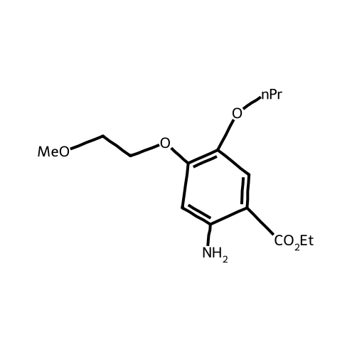 CCCOc1cc(C(=O)OCC)c(N)cc1OCCOC